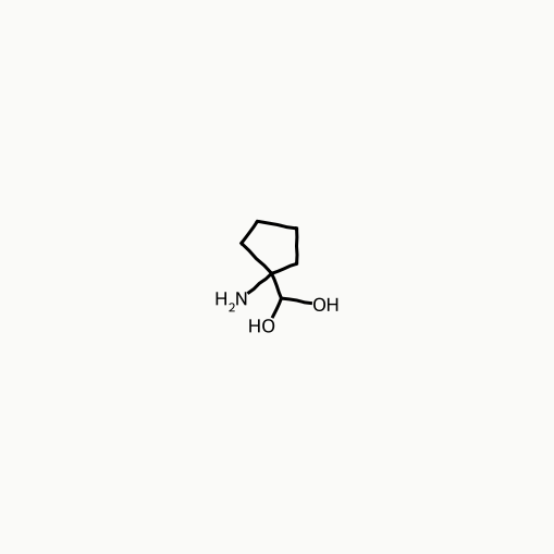 NC1(C(O)O)CCCC1